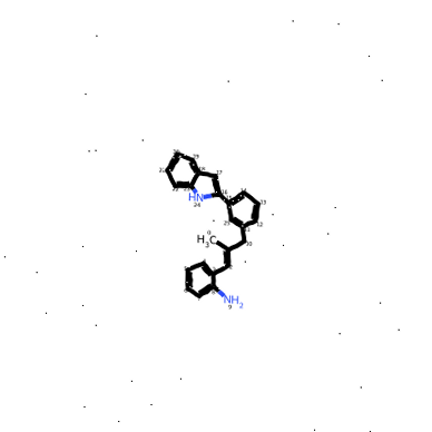 C/C(=C\c1ccccc1N)Cc1cccc(-c2cc3ccccc3[nH]2)c1